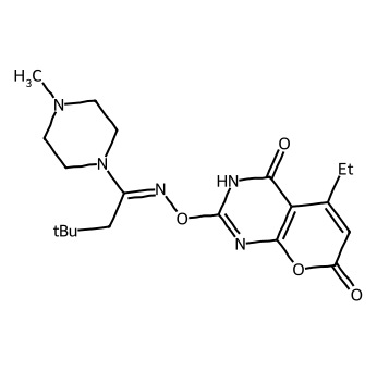 CCc1cc(=O)oc2nc(O/N=C(\CC(C)(C)C)N3CCN(C)CC3)[nH]c(=O)c12